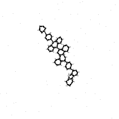 c1ccc(-c2ccc(-c3c4ccccc4c(-c4cc5c6ccccc6c(-c6ccc(-c7cccc8c7oc7ccccc78)cc6)cc5c5ccccc45)c4ccccc34)cc2)cc1